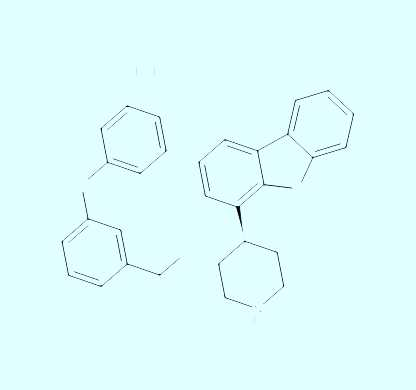 Cl.c1ccc(Oc2cccc(CO[C@H]3CNCC[C@@H]3c3cccc4c3oc3ccccc34)c2)cc1